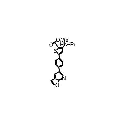 COC(=O)c1sc(-c2ccc(-c3cnc4occc4c3)cc2)cc1NC(C)C